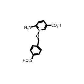 Nc1ccc(C(=O)O)c[n+]1OCc1ccc(S(=O)(=O)O)cc1